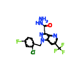 NNC(=O)c1nn(Cc2ccc(F)cc2Cl)c2cc(C(F)(F)F)cnc12